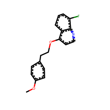 COc1ccc(CCOc2ccnc3c(F)cccc23)cc1